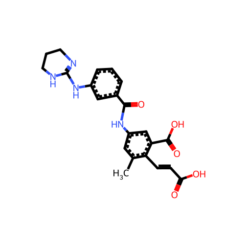 Cc1cc(NC(=O)c2cccc(NC3=NCCCN3)c2)cc(C(=O)O)c1C=CC(=O)O